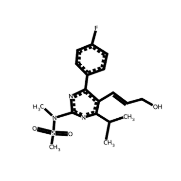 CC(C)c1nc(N(C)S(C)(=O)=O)nc(-c2ccc(F)cc2)c1C=CCO